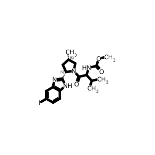 COC(=O)NC(C(=O)N1C[C@@H](C)C[C@H]1c1nc2cc(I)ccc2[nH]1)C(C)C